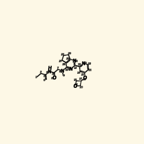 C=C(CC)NC(=O)CN(C)c1nc(-c2cc(OC3COC3)ccn2)nc2c1CCC2